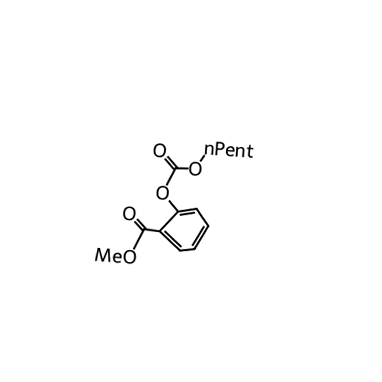 CCCCCOC(=O)Oc1ccccc1C(=O)OC